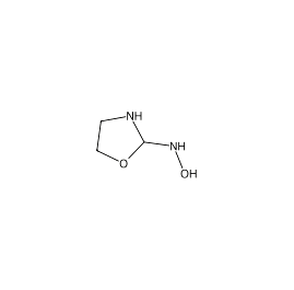 ONC1NCCO1